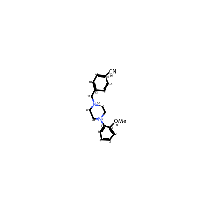 COc1ccccc1N1CCN(Cc2ccc(C#N)cc2)CC1